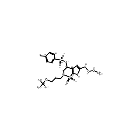 [2H]C([2H])([2H])OCCCN1CC(OS(=O)(=O)c2ccc(C)cc2)c2cc(SOON)sc2S1(=O)=O